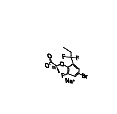 CCC(F)(F)c1cc(Br)cc(F)c1O[C@@H](C)C(=O)[O-].[Na+]